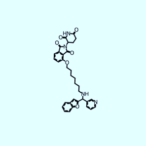 O=C1CCC(N2C(=O)c3cccc(OCCCCCCCNC(c4cccnc4)c4cc5ccccc5o4)c3C2=O)C(=O)N1